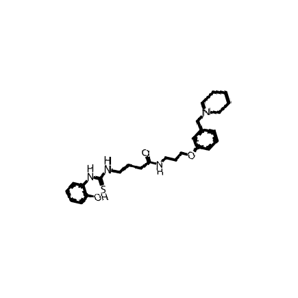 O=C(CCCNC(=S)Nc1ccccc1O)NCCCOc1cccc(CN2CCCCC2)c1